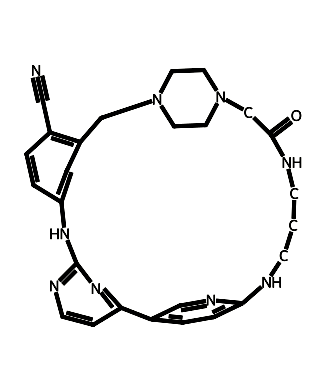 N#Cc1ccc2cc1CN1CCN(CC1)CC(=O)NCCCNc1ccc(cn1)-c1ccnc(n1)N2